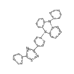 c1ccc(-c2nc(-c3ccc(N4c5ccccc5N(c5ccccc5)c5ccccc54)cc3)ns2)cc1